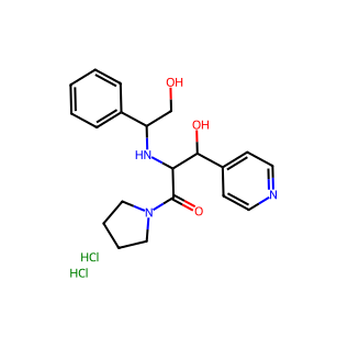 Cl.Cl.O=C(C(NC(CO)c1ccccc1)C(O)c1ccncc1)N1CCCC1